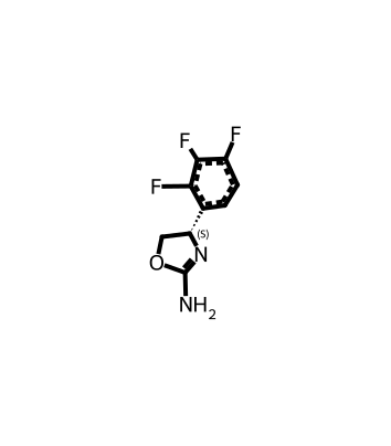 NC1=N[C@@H](c2ccc(F)c(F)c2F)CO1